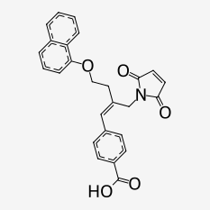 O=C(O)c1ccc(C=C(CCOc2cccc3ccccc23)CN2C(=O)C=CC2=O)cc1